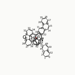 c1ccc2cc(C3=NC(c4ccc5c(ccc6ccccc65)c4)NC(c4cccc5oc6cccc(-c7cccc8ccccc78)c6c45)=N3)ccc2c1